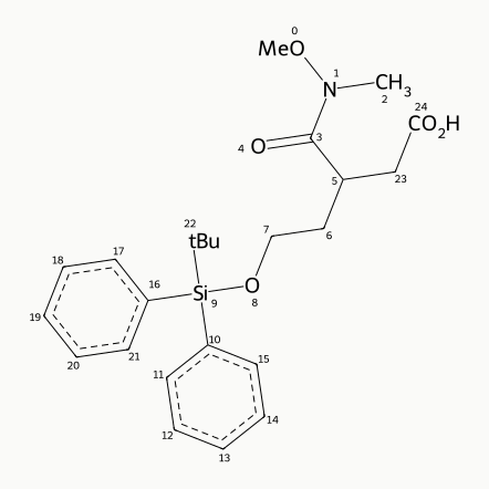 CON(C)C(=O)C(CCO[Si](c1ccccc1)(c1ccccc1)C(C)(C)C)CC(=O)O